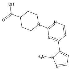 Cn1nccc1-c1ccnc(N2CCC(C(=O)O)CC2)n1